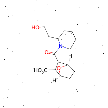 O=C(O)C1C(C(=O)N2CCCCC2CCO)[C@H]2CC[C@@H]1O2